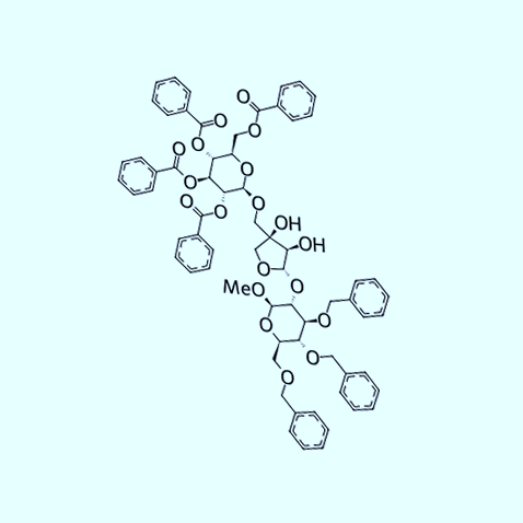 CO[C@@H]1O[C@H](COCc2ccccc2)[C@@H](OCc2ccccc2)[C@H](OCc2ccccc2)[C@H]1O[C@@H]1OC[C@](O)(CO[C@@H]2O[C@H](COC(=O)c3ccccc3)[C@@H](OC(=O)c3ccccc3)[C@H](OC(=O)c3ccccc3)[C@H]2OC(=O)c2ccccc2)[C@H]1O